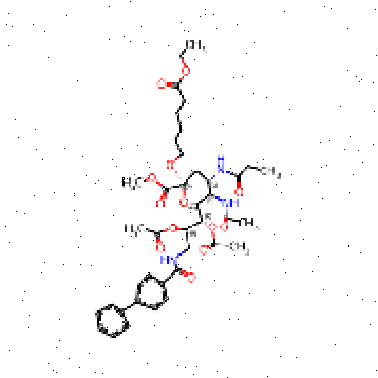 CCOC(=O)CCCCCO[C@]1(C(=O)OC)C[C@H](NC(=O)CC)[C@@H](NC(C)=O)[C@H]([C@H](OC(C)=O)[C@@H](CNC(=O)c2ccc(-c3ccccc3)cc2)OC(C)=O)O1